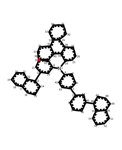 c1cc(-c2ccc(N(c3cccc(-c4cccc5ccccc45)c3)c3cccc4c5ccccc5c5ccccc5c34)cc2)cc(-c2cccc3ccccc23)c1